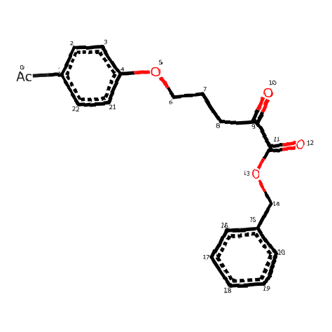 CC(=O)c1ccc(OCCCC(=O)C(=O)OCc2ccccc2)cc1